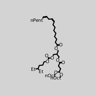 CCCCC/C=C\C/C=C\CCCCCCCC(=O)OCC(COC(=O)CCC(OCCCCCCCC)OCCCCCCCC)COC(=O)OCCCC(CC)CC